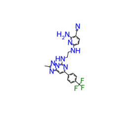 Cc1nc2cc(-c3ccc(C(F)(F)F)cc3)nc(NCCNc3ccc(C#N)c(N)n3)n2n1